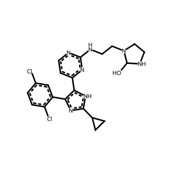 OC1NCCN1CCNc1nccc(-c2[nH]c(C3CC3)nc2-c2cc(Cl)ccc2Cl)n1